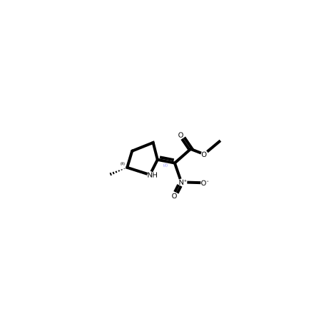 COC(=O)/C(=C1\CC[C@@H](C)N1)[N+](=O)[O-]